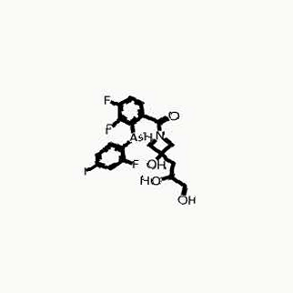 O=C(c1ccc(F)c(F)c1[AsH]c1ccc(I)cc1F)N1CC(O)(CC(O)CO)C1